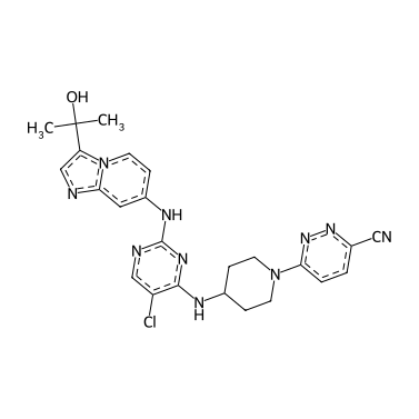 CC(C)(O)c1cnc2cc(Nc3ncc(Cl)c(NC4CCN(c5ccc(C#N)nn5)CC4)n3)ccn12